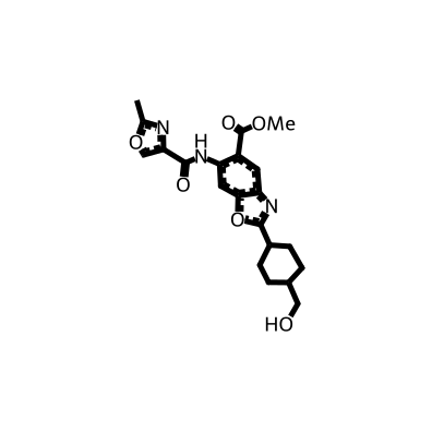 COC(=O)c1cc2nc(C3CCC(CO)CC3)oc2cc1NC(=O)c1coc(C)n1